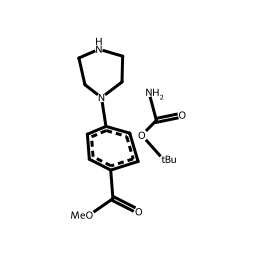 CC(C)(C)OC(N)=O.COC(=O)c1ccc(N2CCNCC2)cc1